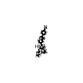 CC(C)(C)OC(=O)C[C@@H](NC(=O)c1ccn2cc(-c3ccc(C#N)cc3)nc2c1)C(=O)OC(C)(C)C